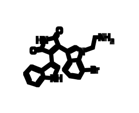 NCCn1cc(C2=C(c3c[nH]c4ccccc34)C(=O)NC2=O)c2cccc(Br)c21